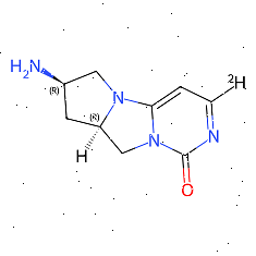 [2H]c1cc2n(c(=O)n1)C[C@H]1C[C@@H](N)CN21